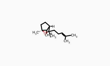 CC(C)=CCC[C@]1(C)O[C@@]2(C)CC[C@H]1[C@H]2C